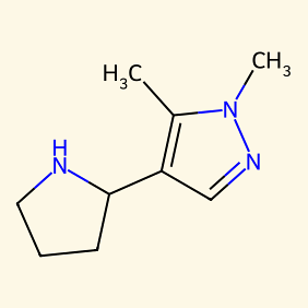 Cc1c(C2CCCN2)cnn1C